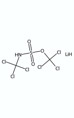 O=S(=O)(NC(Cl)(Cl)Cl)OC(Cl)(Cl)Cl.[LiH]